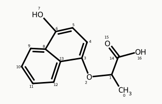 CC(Oc1ccc(O)c2ccccc12)C(=O)O